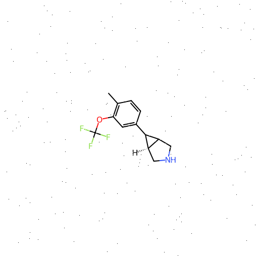 Cc1ccc(C2C3CNC[C@H]32)cc1OC(F)(F)F